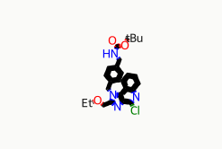 CCOCc1nc2c(Cl)nc3ccccc3c2n1Cc1ccc(CNC(=O)OC(C)(C)C)cc1